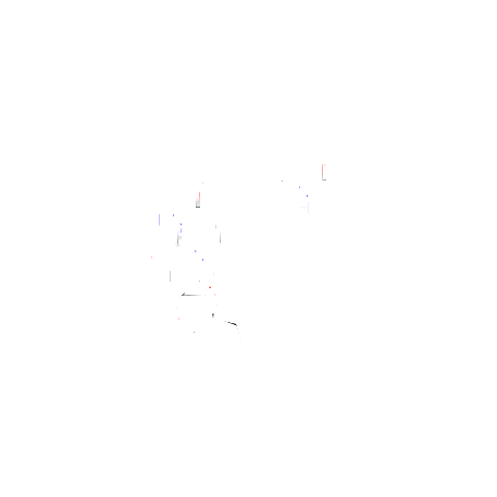 CC[C@@]12CO[C@H](C1O)[C@H](n1cc(C#CCNC(C)=O)c(=O)[nH]c1=O)O2